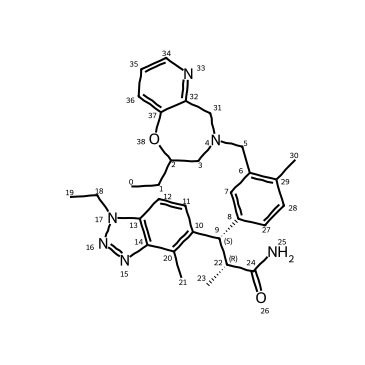 CCC1CN(Cc2cc([C@@H](c3ccc4c(nnn4CC)c3C)[C@@H](C)C(N)=O)ccc2C)Cc2ncccc2O1